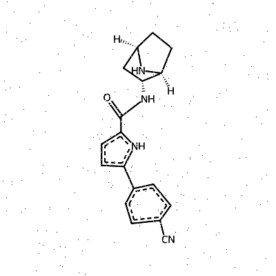 N#Cc1ccc(-c2ccc(C(=O)N[C@@H]3C[C@H]4CC[C@@H]3N4)[nH]2)cc1